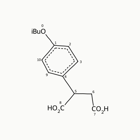 CC(C)COc1ccc(C(CC(=O)O)C(=O)O)cc1